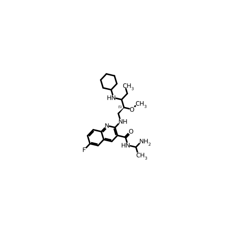 CCC(NC1CCCCC1)[C@H](CNc1nc2ccc(F)cc2cc1C(=O)NC(C)N)OC